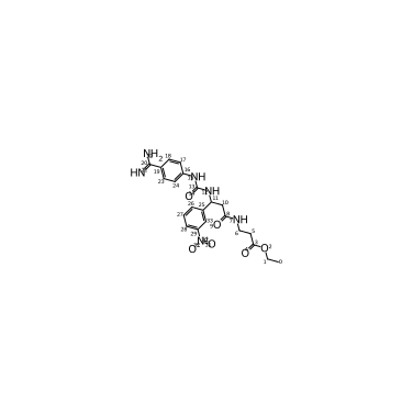 CCOC(=O)CCNC(=O)CC(NC(=O)Nc1ccc(C(=N)N)cc1)c1cccc([N+](=O)[O-])c1